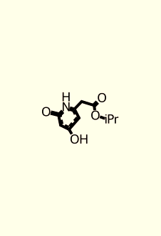 CC(C)OC(=O)Cc1cc(O)cc(=O)[nH]1